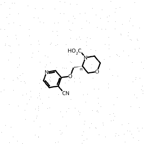 N#Cc1ccncc1OC[C@H]1COCCN1C(=O)O